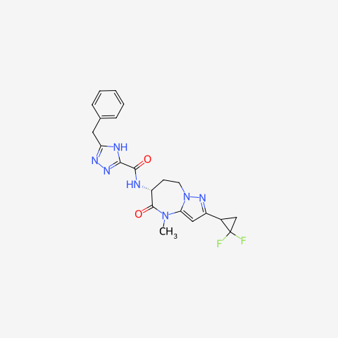 CN1C(=O)[C@H](NC(=O)c2nnc(Cc3ccccc3)[nH]2)CCn2nc(C3CC3(F)F)cc21